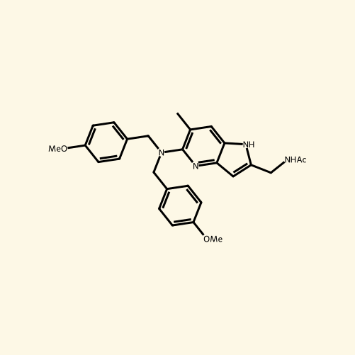 COc1ccc(CN(Cc2ccc(OC)cc2)c2nc3cc(CNC(C)=O)[nH]c3cc2C)cc1